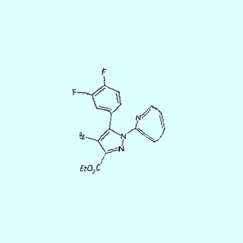 CCOC(=O)c1nn(-c2ccccn2)c(-c2ccc(F)c(F)c2)c1Br